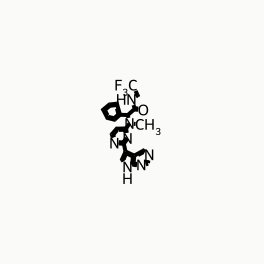 CN(c1ccnc(-c2c[nH]c3ncncc23)n1)C(C(=O)NCC(F)(F)F)c1ccccc1